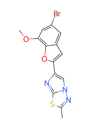 COc1cc(Br)cc2cc(-c3cn4nc(C)sc4n3)oc12